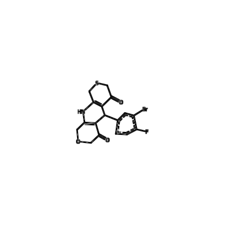 O=C1COCC2=C1C(c1ccc(F)c(Br)c1)C1=C(CSCC1=O)N2